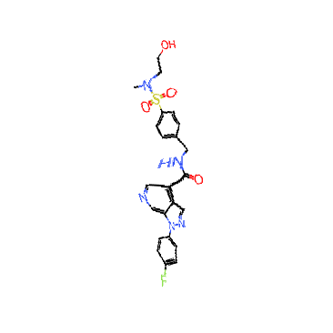 CN(CCO)S(=O)(=O)c1ccc(CNC(=O)c2cncc3c2cnn3-c2ccc(F)cc2)cc1